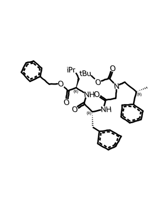 CC(C)C[C@@H](NC(=O)[C@@H](Cc1ccccc1)NC(=O)CN(C[C@H](C)c1ccccc1)C(=O)OC(C)(C)C)C(=O)OCc1ccccc1